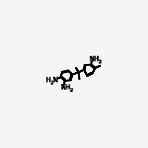 Cc1ccc(C(C)(C)c2ccc(N)c(N)c2)cc1N